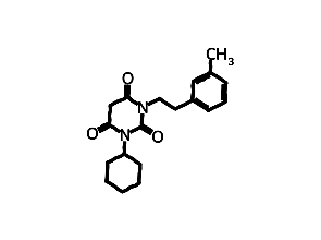 Cc1cccc(CCN2C(=O)CC(=O)N(C3CCCCC3)C2=O)c1